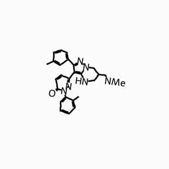 CNCC1CNc2c(-c3ccc(=O)n(-c4ccccc4C)n3)c(-c3cccc(C)c3)nn2C1